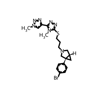 Cn1cc(-c2nnc(SCCCN3C[C@@H]4C[C@]4(c4ccc(Br)cc4)C3)n2C)nn1